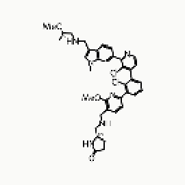 COc1nc(-c2cccc(-c3ccnc(-c4ccc5c(CNC[C@@H](C)OC)cn(C)c5c4)c3Cl)c2Cl)ccc1CNC[C@H]1CCC(=O)N1